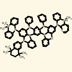 C[SiH]1c2ccccc2N(c2cc3c4c(c2)N(c2ccccc2)c2cc5c(cc2B4c2ccccc2O3)B2c3ccccc3N(c3ccc4c(c3)C(C)(C)CCC4(C)C)c3cc(N4c6ccccc6[Si](C)(C)c6ccccc64)cc(c32)N5c2ccccc2)c2ccccc21